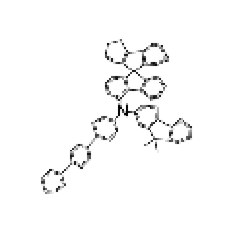 CC1(C)c2ccccc2-c2ccc(N(c3ccc(-c4ccc(-c5ccccc5)cc4)cc3)c3cccc4c3-c3ccccc3C43C4=C(CCC=C4)c4ccccc43)cc21